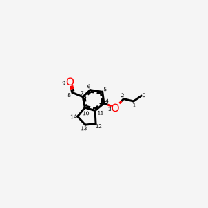 CCCOc1ccc(C=O)c2c1CCC2